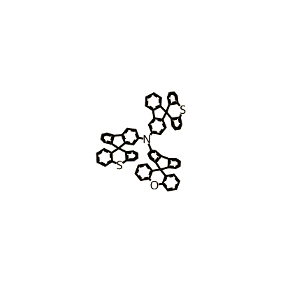 c1ccc2c(c1)Oc1ccccc1C21c2ccccc2-c2cc(N(c3ccc4c(c3)-c3ccccc3C43c4ccccc4Sc4ccccc43)c3ccc4c(c3)C3(c5ccccc5Sc5ccccc53)c3ccccc3-4)ccc21